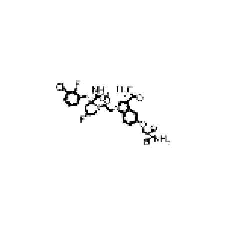 CC(=O)c1cn(CC(=O)N2C[C@H](F)C[C@@]2(Cc2cccc(Cl)c2F)C(N)=O)c2ccc(OCS(N)(=O)=O)cc12